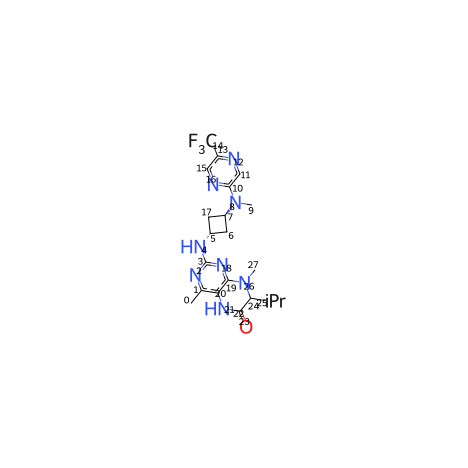 Cc1nc(N[C@H]2C[C@H](N(C)c3cnc(C(F)(F)F)cn3)C2)nc2c1NC(=O)C(C(C)C)N2C